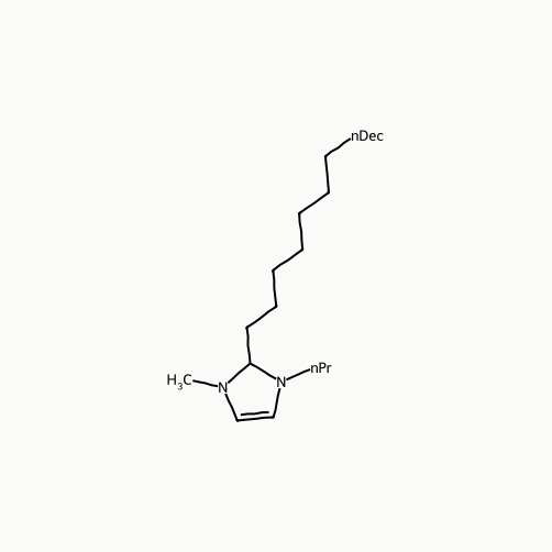 CCCCCCCCCCCCCCCCCC1N(C)C=CN1CCC